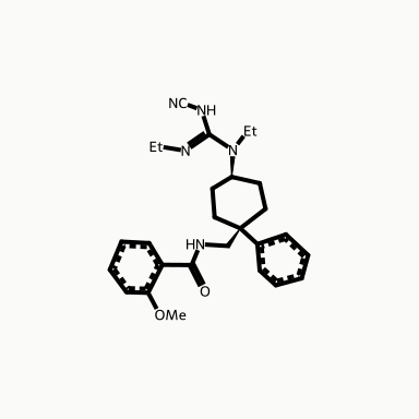 CCN=C(NC#N)N(CC)[C@H]1CC[C@](CNC(=O)c2ccccc2OC)(c2ccccc2)CC1